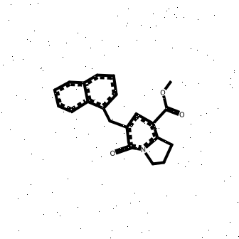 COC(=O)c1cc(Cc2cccc3ccccc23)c(=O)n2c1CCC2